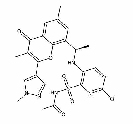 CC(=O)NS(=O)(=O)c1nc(Cl)ccc1N[C@H](C)c1cc(C)cc2c(=O)c(C)c(-c3cnn(C)c3)oc12